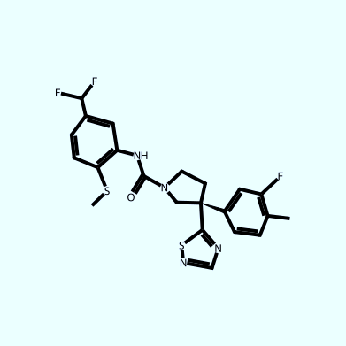 CSc1ccc(C(F)F)cc1NC(=O)N1CC[C@](c2ccc(C)c(F)c2)(c2ncns2)C1